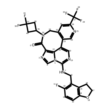 O=C1c2ncn3c(NCc4c(F)ccc5c4CCO5)ncc(c23)-c2cnc(C(F)(F)F)cc2CN1C1CC(F)(F)C1